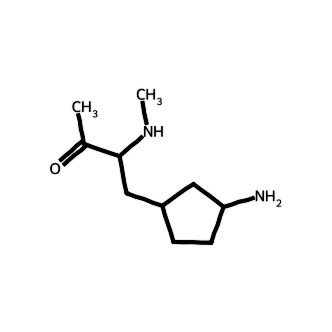 CNC(CC1CCC(N)C1)C(C)=O